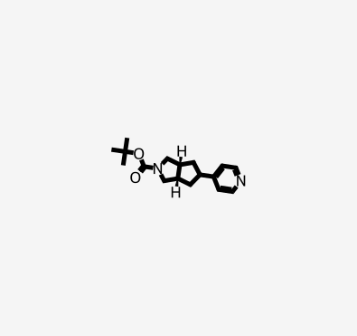 CC(C)(C)OC(=O)N1C[C@H]2CC(c3ccncc3)C[C@H]2C1